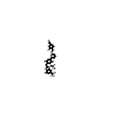 CO[C@H](C)Cn1c(Cc2cc(F)c(-c3cccc(OCc4ccc(C#N)cc4F)n3)cc2F)nc2c(F)cc(C(=O)O)cc21